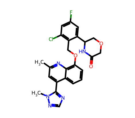 Cc1cc(-c2ncnn2C)c2cccc(OCc3c(Cl)cc(F)cc3C3COCC(=O)N3)c2n1